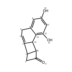 O=C1CC2C3=CCc4cc(O)cc(O)c4C3C12